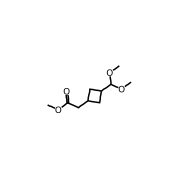 COC(=O)CC1CC(C(OC)OC)C1